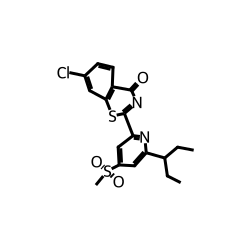 CCC(CC)c1cc(S(C)(=O)=O)cc(-c2nc(=O)c3ccc(Cl)cc3s2)n1